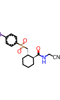 N#CCNC(=O)[C@H]1CCCC[C@@H]1CS(=O)(=O)c1ccc(I)cc1